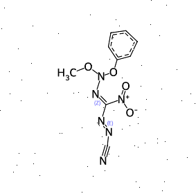 CON(/N=C(/N=N/C#N)[N+](=O)[O-])Oc1ccccc1